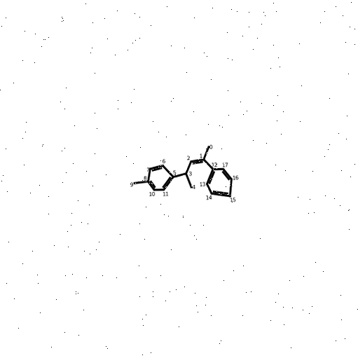 CC(=CC(C)c1ccc(C)cc1)c1ccccc1